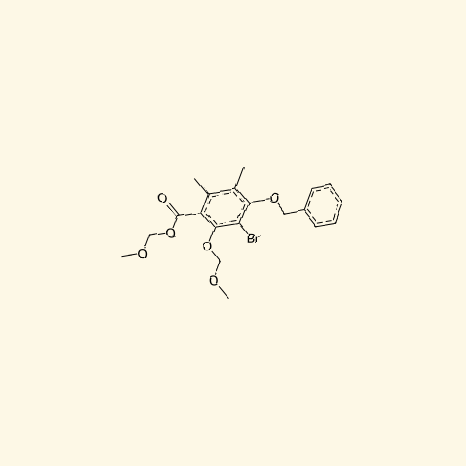 COCOC(=O)c1c(C)c(C)c(OCc2ccccc2)c(Br)c1OCOC